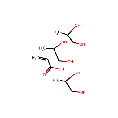 C=CC(=O)O.CC(O)CO.CC(O)CO.CC(O)CO